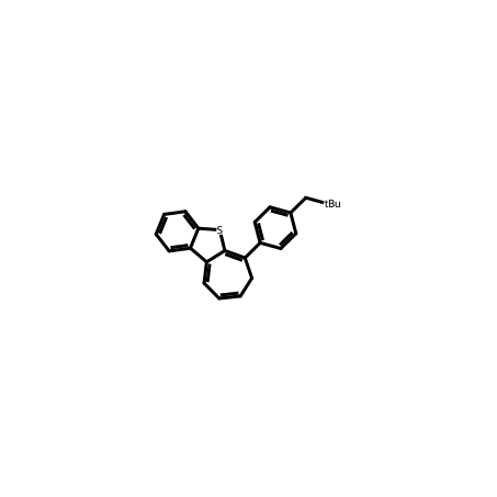 CC(C)(C)Cc1ccc(C2=c3sc4ccccc4c3=CC=CC2)cc1